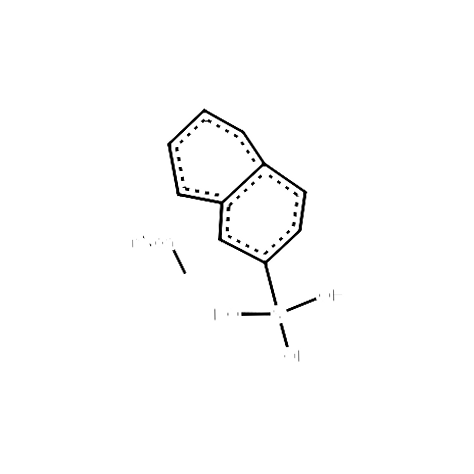 CCCCCCCCCC.O[Si](O)(O)c1ccc2ccccc2c1